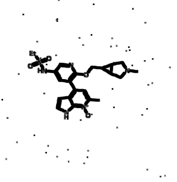 CCS(=O)(=O)Nc1cnc(OCC2C3CN(C)CC23)c(-c2cc(C)[n+]([O-])c3[nH]ccc23)c1